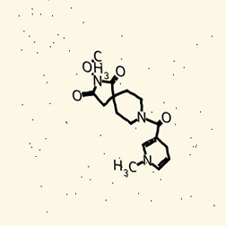 CON1C(=O)CC2(CCN(C(=O)C3=CN(C)C=CC3)CC2)C1=O